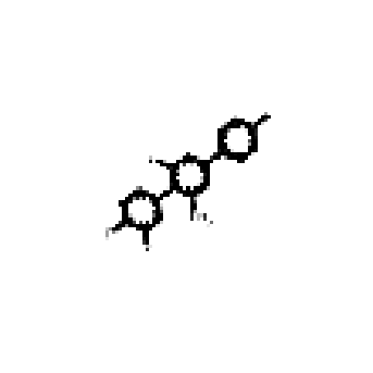 Cc1ccc(-c2cc(F)c(-c3ccc(F)c(F)c3)c(P)c2)cc1